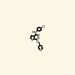 Clc1ccc(Nc2nnc(OCc3ccncc3)c3sccc23)cc1